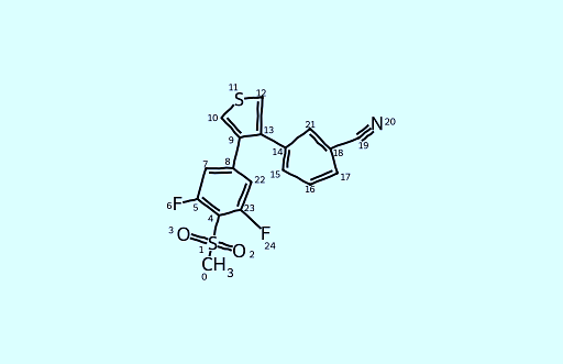 CS(=O)(=O)c1c(F)cc(-c2cscc2-c2cccc(C#N)c2)cc1F